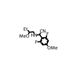 CCC(CNC(C#N)c1c(F)cc(OC)cc1F)OC